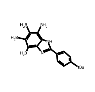 Bc1c(B)c(B)c2[nH]c(-c3ccc(C(C)(C)C)cc3)nc2c1B